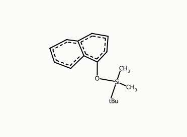 CC(C)(C)[Si](C)(C)Oc1cccc2ccccc12